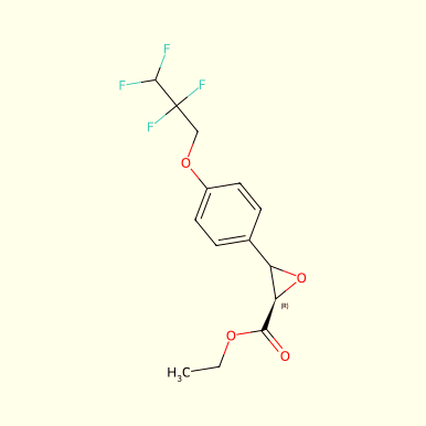 CCOC(=O)[C@@H]1OC1c1ccc(OCC(F)(F)C(F)F)cc1